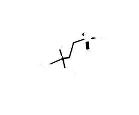 O=S(=O)(O)CCC([SiH3])([SiH3])[SiH3]